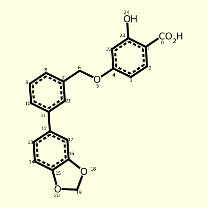 O=C(O)c1ccc(OCc2cccc(-c3ccc4c(c3)OCO4)c2)cc1O